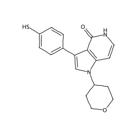 O=c1[nH]ccc2c1c(-c1ccc(S)cc1)cn2C1CCOCC1